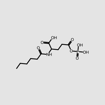 CCCCCC(=O)NC(CCC(=O)OP(=O)(O)O)C(=O)O